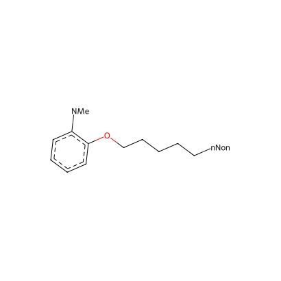 CCCCCCCCCCCCCCOc1ccccc1NC